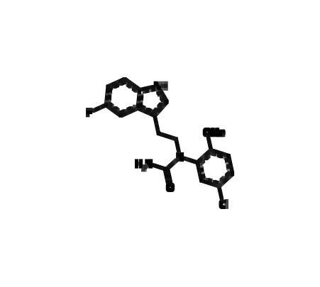 COc1ccc(Cl)cc1N(CCc1c[nH]c2ccc(F)cc12)C(N)=O